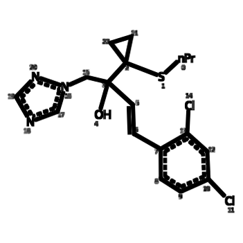 CCCSC1(C(O)(/C=C/c2ccc(Cl)cc2Cl)Cn2cncn2)CC1